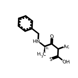 CC(=O)C(C(=O)[C@@H](C)NCc1ccccc1)C(O)=S